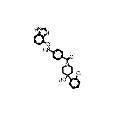 O=C(c1ccc(NOc2cccc3[nH]cnc23)cc1)N1CCC(O)(c2ccccc2Cl)CC1